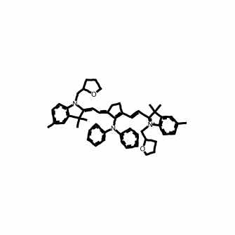 Cc1ccc2c(c1)C(C)(C)C(/C=C/C1=C(N(c3ccccc3)c3ccccc3)C(=C/C=C3/N(CC4CCCO4)c4ccc(C)cc4C3(C)C)/CC1)=[N+]2CC1CCCO1